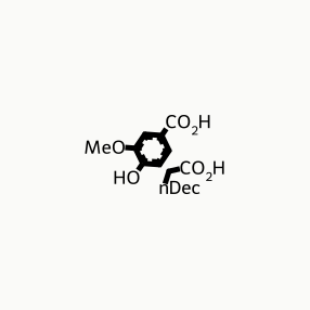 CCCCCCCCCCCC(=O)O.COc1cc(C(=O)O)ccc1O